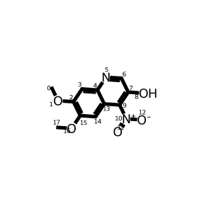 COc1cc2ncc(O)c([N+](=O)[O-])c2cc1OC